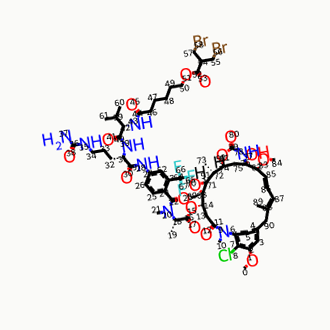 COc1cc2cc(c1Cl)N(C)C(=O)C[C@H](OC(=O)[C@H](C)N(C)C(=O)c1ccc(NC(=O)[C@H](CCCNC(N)=O)NC(=O)[C@@H](NC(=O)CCCCCOC(=O)C(CBr)CBr)C(C)C)cc1C(F)(F)F)[C@]1(C)O[C@H]1[C@H](C)[C@@H]1C[C@@](O)(NC(=O)O1)[C@H](OC)/C=C/C=C(\C)C2